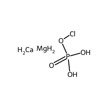 O=P(O)(O)OCl.[CaH2].[MgH2]